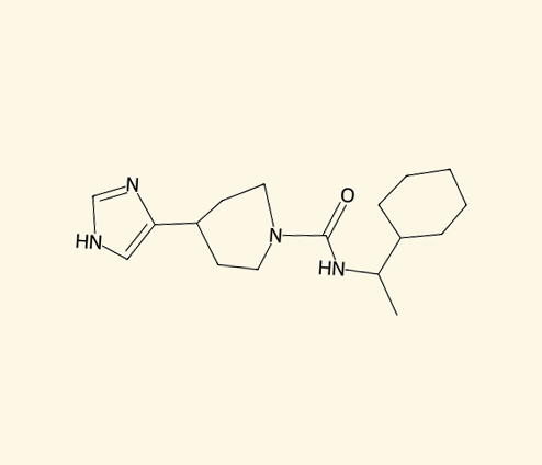 CC(NC(=O)N1CCC(c2c[nH]cn2)CC1)C1CCCCC1